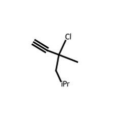 C#CC(C)(Cl)CC(C)C